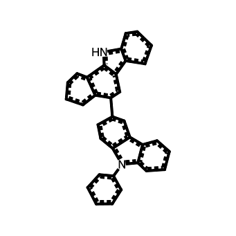 c1ccc(-n2c3ccccc3c3cc(-c4cc5c6ccccc6[nH]c5c5ccccc45)ccc32)cc1